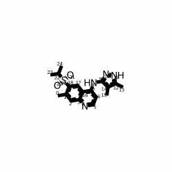 Cc1cc2nccc(Nc3n[nH]c(C)c3C)c2cc1S(=O)(=O)C(C)C